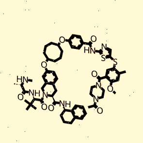 CN[C@@H](C)C(=O)N[C@H](C(=O)N1Cc2cc(OC3CCCC(Oc4ccc(C(=O)Nc5ncc(Sc6cc(C(=O)N7CCN(C(C)=O)CC7)c(OC)cc6C)s5)cc4)CCC3)ccc2C[C@H]1C(=O)N[C@@H]1CCCc2ccccc21)C(C)(C)C